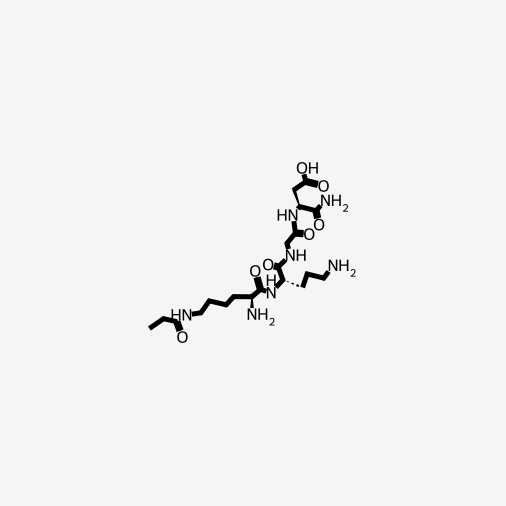 CCC(=O)NCCCC[C@H](N)C(=O)N[C@@H](CCCN)C(=O)NCC(=O)N[C@@H](CC(=O)O)C(N)=O